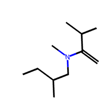 C=C(C(C)C)N(C)CC(C)CC